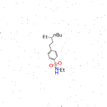 CCCCC(CC)CCc1ccc(S(=O)(=O)NCC)cc1